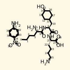 CCCC[C@@H](N)C(=O)N[C@@H](CC1CCC(O)CC1)C(=O)N[C@@H](CCCCN)C(=O)O.Nc1ccc([N+](=O)[O-])cc1